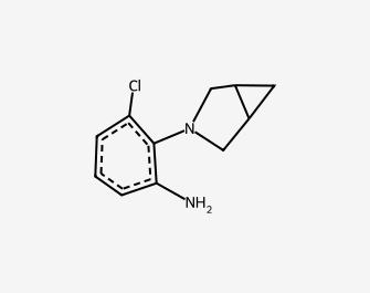 Nc1cccc(Cl)c1N1CC2CC2C1